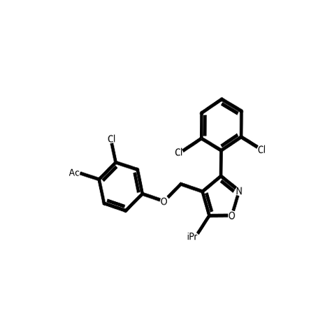 CC(=O)c1ccc(OCc2c(-c3c(Cl)cccc3Cl)noc2C(C)C)cc1Cl